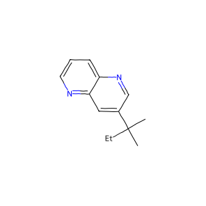 CCC(C)(C)c1cnc2cccnc2c1